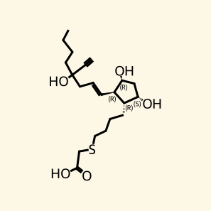 C#CC(O)(CC=C[C@@H]1[C@@H](CCCCSCC(=O)O)[C@@H](O)C[C@H]1O)CCCC